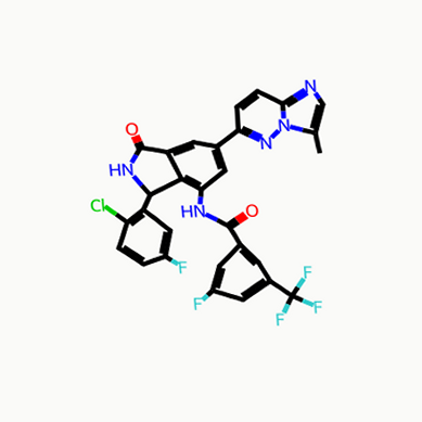 Cc1cnc2ccc(-c3cc(NC(=O)c4cc(F)cc(C(F)(F)F)c4)c4c(c3)C(=O)NC4c3cc(F)ccc3Cl)nn12